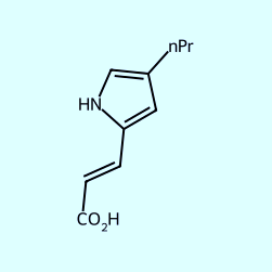 CCCc1c[nH]c(C=CC(=O)O)c1